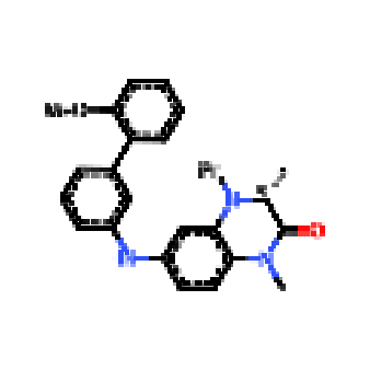 COc1ccccc1-c1cccc(Nc2ccc3c(c2)N(C(C)C)[C@H](C)C(=O)N3C)c1